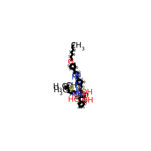 CCCCCCCOc1ccc(-c2cnc(-c3ccc(C[C@H](NC(=O)c4ccc(C(C)(C)C)s4)C(O)NC(C(=O)O)[C@@H](O)c4ccccc4)cc3)nc2)cc1